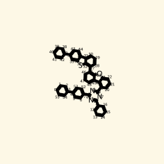 c1ccc(-c2ccc(-c3nc(-c4ccccc4)nc(-c4cccc5oc6c(-c7cccc8c7sc7cc(-c9ccccc9)ccc78)cccc6c45)n3)cc2)cc1